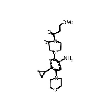 COCCC(=O)N1CCN(c2nc(C3CC3)c(N3CCOCC3)cc2N)C[C@H]1C